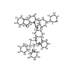 c1ccc(-c2cc3c4cc5c(cc4n4c3c(c2)c2ccc3c6ccccc6oc3c24)c2c([n+]3ccccc53)C3C(C2)c2ccccc2-c2cccc[n+]23)cc1